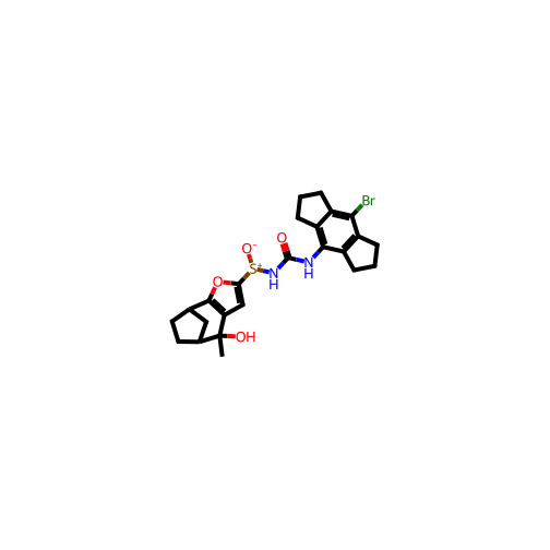 CC1(O)c2cc([S+]([O-])NC(=O)Nc3c4c(c(Br)c5c3CCC5)CCC4)oc2C2CCC1C2